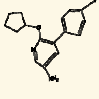 Nc1cnc(OC2CCCC2)c(-c2ccc(F)cc2)c1